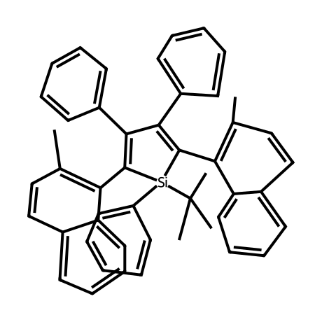 Cc1ccc2ccccc2c1C1=C(c2ccccc2)C(c2ccccc2)=C(c2c(C)ccc3ccccc23)[Si]1(c1ccccc1)C(C)(C)C